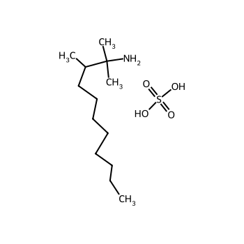 CCCCCCCCC(C)C(C)(C)N.O=S(=O)(O)O